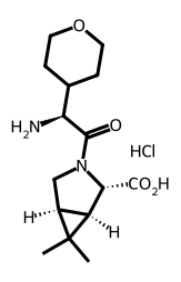 CC1(C)[C@@H]2[C@@H](C(=O)O)N(C(=O)[C@@H](N)C3CCOCC3)C[C@@H]21.Cl